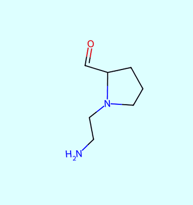 NCCN1CCCC1C=O